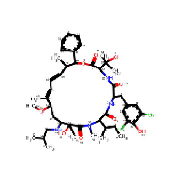 CCC(C)C1C(=O)NC(Cc2cc(Cl)c(O)c(Cl)c2)C(=O)NC(C(C)(C)O)C(=O)OC(c2ccccc2)C(C)/C=C/C=C(\C)C(OC)CC(NCC(C)C)C(C)(O)C(=O)N1C